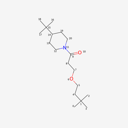 CC(C)(C)CCOCCC(=O)N1CCC(C(C)(C)C)CC1